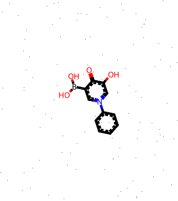 O=c1c(O)cn(-c2ccccc2)cc1B(O)O